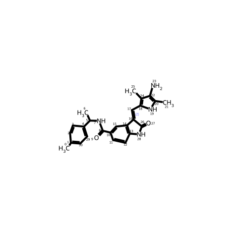 Cc1ccc(C(C)NC(=O)c2ccc3c(c2)/C(=C/c2[nH]c(C)c(N)c2C)C(=O)N3)cc1